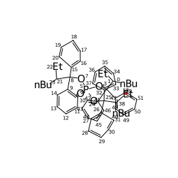 CCCCC(CC)C(OP(=O)(OC(c1ccccc1)(c1ccccc1)C(CC)CCCC)OC(c1ccccc1)(c1ccccc1)C(CC)CCCC)(c1ccccc1)c1ccccc1